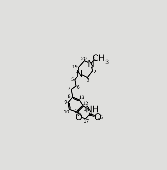 CN1CCN(CCCc2ccc3c(c2)NC(=O)CO3)CC1